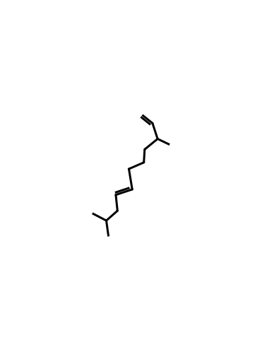 C=CC(C)CCCC=CCC(C)C